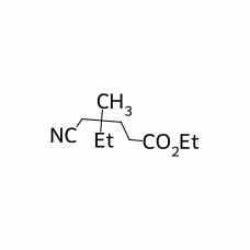 CCOC(=O)CCC(C)(CC)CC#N